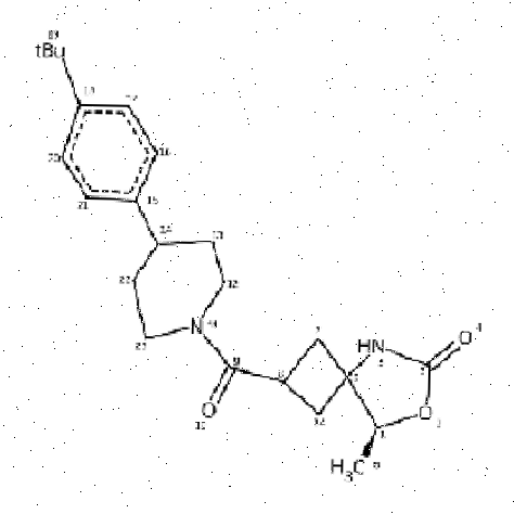 C[C@@H]1OC(=O)NC12CC(C(=O)N1CCC(c3ccc(C(C)(C)C)cc3)CC1)C2